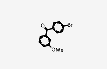 COc1cccc(C(=O)c2ccc(Br)cc2)c1